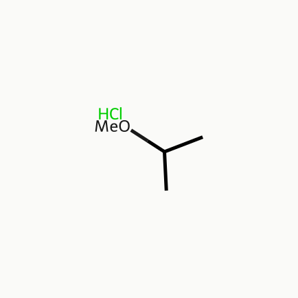 COC(C)C.Cl